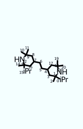 CC(C)C1(C)CC(CCC2CC(C)(C)NC(C)(C(C)C)C2)CC(C)(C)N1